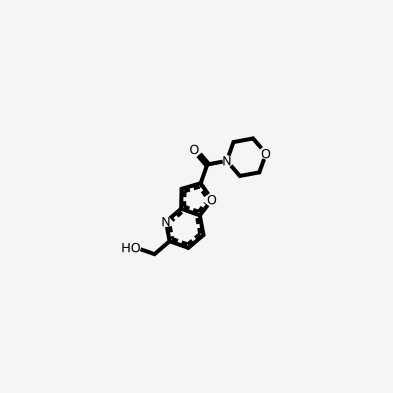 O=C(c1cc2nc(CO)ccc2o1)N1CCOCC1